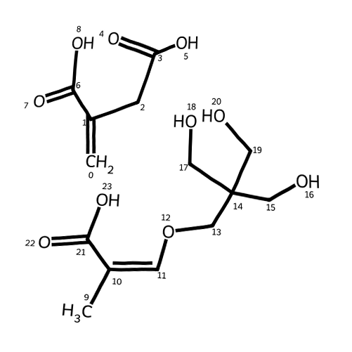 C=C(CC(=O)O)C(=O)O.CC(=COCC(CO)(CO)CO)C(=O)O